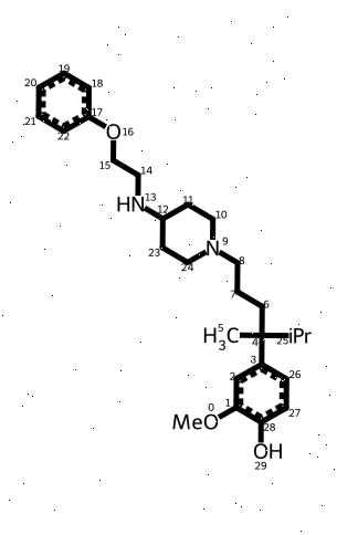 COc1cc(C(C)(CCCN2CCC(NCCOc3ccccc3)CC2)C(C)C)ccc1O